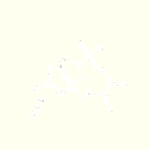 N.N.O=S(=O)([O-])OOS(=O)(=O)[O-].O=S(O)O.O=S([O-])S(=O)O.[Na+].[Na+].[Na+]